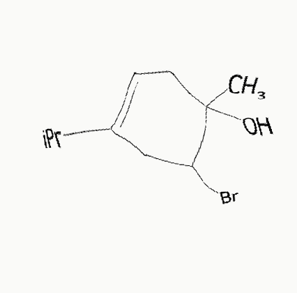 CC(C)C1=CCC(C)(O)C(Br)C1